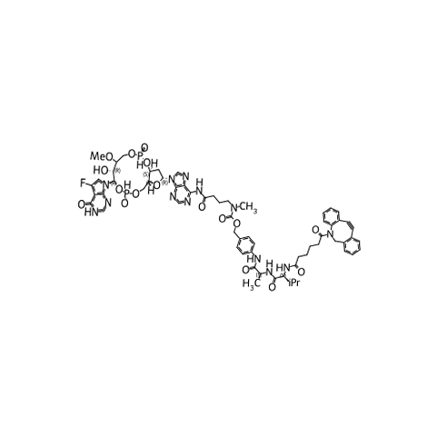 COC1CO[PH](=O)O[C@H]2C[C@H](n3cnc4c(NC(=O)CCCN(C)C(=O)OCc5ccc(NC(=O)[C@H](C)NC(=O)[C@@H](NC(=O)CCCCC(=O)N6Cc7ccccc7C#Cc7ccccc76)C(C)C)cc5)ncnc43)O[C@@H]2CO[PH](=O)O[C@@H](n2cc(F)c3c(=O)[nH]cnc32)[C@@H]1O